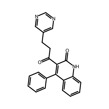 O=C(CCc1cncnc1)c1c(-c2ccccc2)c2ccccc2[nH]c1=O